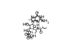 C=CC(=O)NC(C)[C@]1(COP(=O)(O)O)O[C@@H](n2cnc3c(=O)[nH]c(N)nc32)[C@H](O)[C@@H]1O